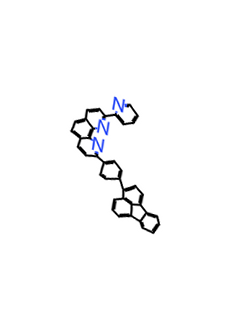 c1ccc(-c2ccc3ccc4ccc(-c5ccc(-c6ccc7c8c(cccc68)-c6ccccc6-7)cc5)nc4c3n2)nc1